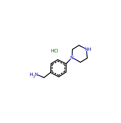 Cl.NCc1ccc(N2CCNCC2)cc1